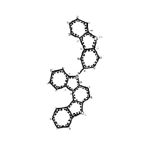 c1ccc2c(c1)oc1ccc3c(c4ccccc4n3-c3ccc4sc5ccccc5c4c3)c12